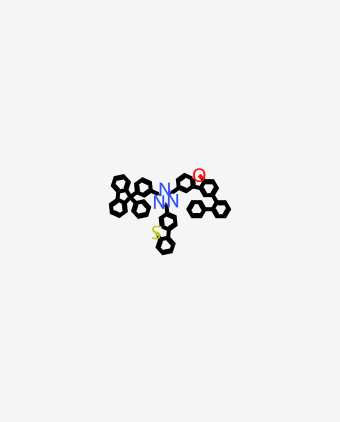 c1ccc(-c2ccccc2-c2ccc3oc4ccc(-c5nc(-c6cccc(C7(c8ccccc8)c8ccccc8-c8ccccc87)c6)nc(-c6ccc7c(c6)sc6ccccc67)n5)cc4c3c2)cc1